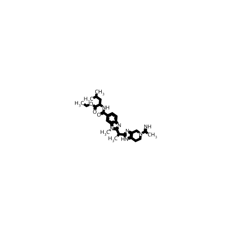 CCOC(=O)C(CC(C)C)NC(=O)c1ccc2nc(C(C)c3nc4c([nH]3)CCN(C(C)=N)C4)n(C)c2c1